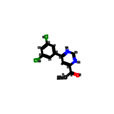 COC(=O)c1cc(-c2cc(Cl)cc(Cl)c2)ncn1